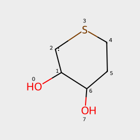 OC1[C]SCCC1O